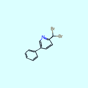 BrC(Br)c1ccc(-c2ccccc2)cn1